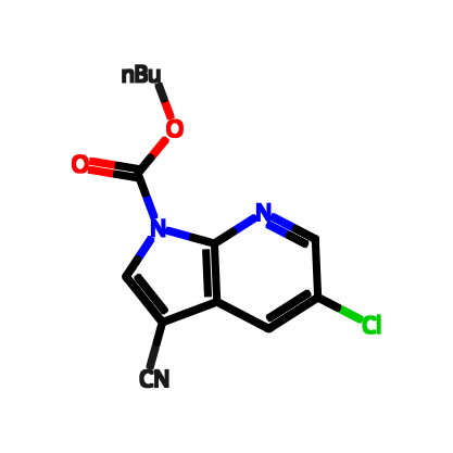 CCCCOC(=O)n1cc(C#N)c2cc(Cl)cnc21